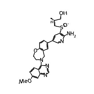 COc1ccc2c(N3CCOc4ccc(-c5cnc(N)c([S+]([O-])C[C@@H](C)CO)c5)cc4C3)ncnc2c1